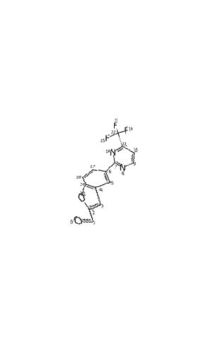 O=Cc1cc2cc(-c3nccc(C(F)(F)F)n3)ccc2o1